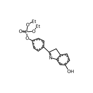 CCOP(=O)(OCC)Oc1ccc(C2=Nc3cc(O)ccc3C2)cc1